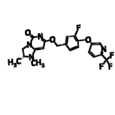 C[C@@H]1Cn2c(cc(OCc3ccc(Oc4ccc(C(F)(F)F)nc4)c(F)c3)nc2=O)N1C